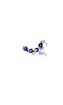 NCSc1nc2cc(C(F)(F)F)ccc2n1C1CCN(C(=O)C2(F)CCN(Cc3ccnnc3)CC2)CC1